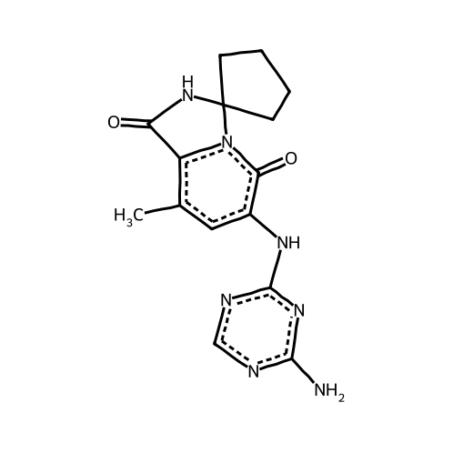 Cc1cc(Nc2ncnc(N)n2)c(=O)n2c1C(=O)NC21CCCC1